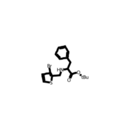 CC(C)(C)OC(=O)C(Cc1ccccc1)NCc1sccc1Br